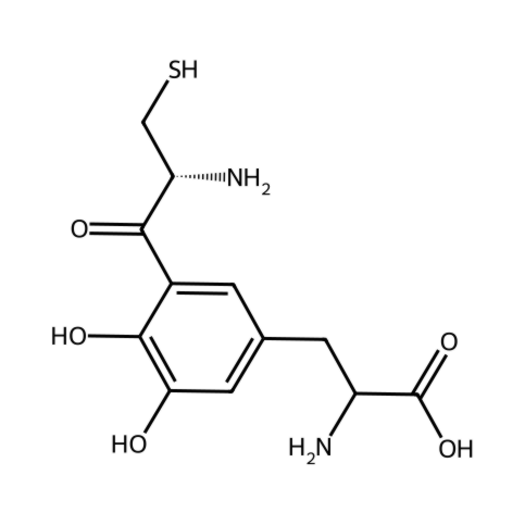 NC(Cc1cc(O)c(O)c(C(=O)[C@@H](N)CS)c1)C(=O)O